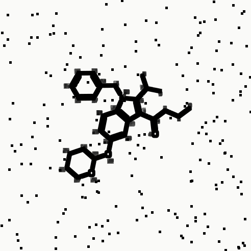 CCCC(=O)c1c(C(C)C)n(Cc2ccccc2)c2ccc(OC3CCCCO3)cc12